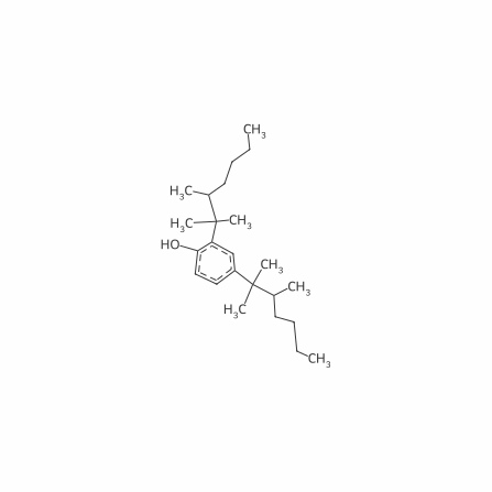 CCCCC(C)C(C)(C)c1ccc(O)c(C(C)(C)C(C)CCCC)c1